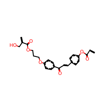 C=CC(=O)Oc1ccc(/C=C/C(=O)c2ccc(OCCCOC(=O)C(=C)CO)cc2)cc1